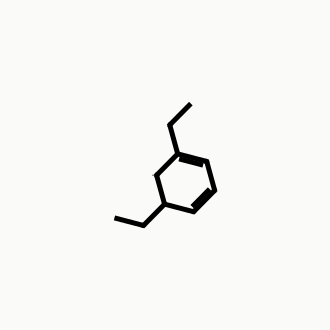 CCC1=CC=CC(CC)[CH]1